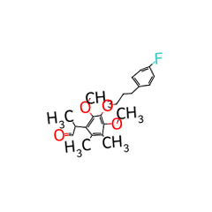 COc1c(C)c(C)c(C(C)C=O)c(OC)c1OCCCc1ccc(F)cc1